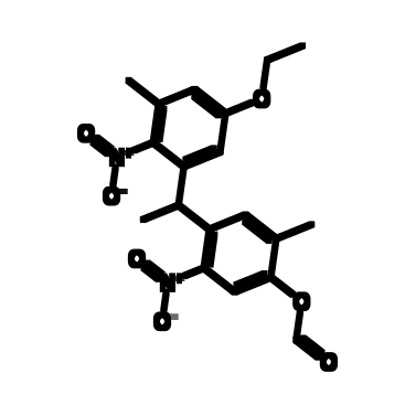 CCOc1cc(C)c([N+](=O)[O-])c(C(C)c2cc(C)c(OC=O)cc2[N+](=O)[O-])c1